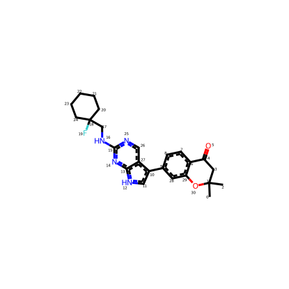 CC1(C)CC(=O)c2ccc(-c3c[nH]c4nc(NCC5(F)CCCCC5)ncc34)cc2O1